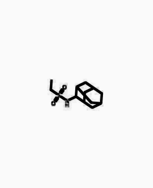 CCS(=O)(=O)NC1C2CC3CC(C2)CC1C3